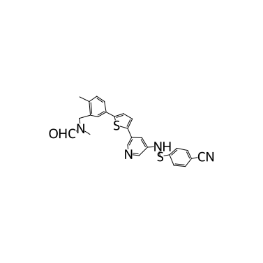 Cc1ccc(-c2ccc(-c3cncc(NSc4ccc(C#N)cc4)c3)s2)cc1CN(C)C=O